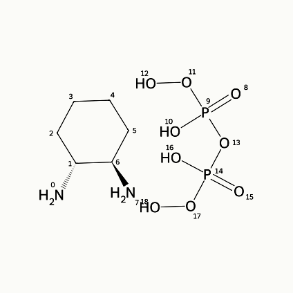 N[C@@H]1CCCC[C@H]1N.O=P(O)(OO)OP(=O)(O)OO